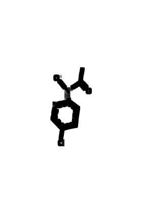 CC(=O)[NH+]([O-])c1ccc(Cl)cn1